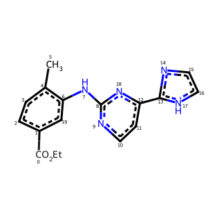 CCOC(=O)c1ccc(C)c(Nc2nccc(-c3ncc[nH]3)n2)c1